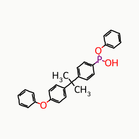 CC(C)(c1ccc(Oc2ccccc2)cc1)c1ccc(P(O)Oc2ccccc2)cc1